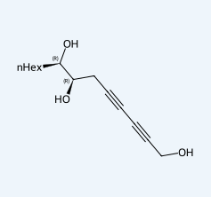 CCCCCC[C@@H](O)[C@H](O)CC#CC#CCO